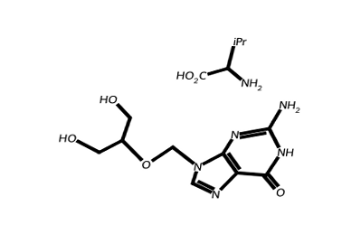 CC(C)C(N)C(=O)O.Nc1nc2c(ncn2COC(CO)CO)c(=O)[nH]1